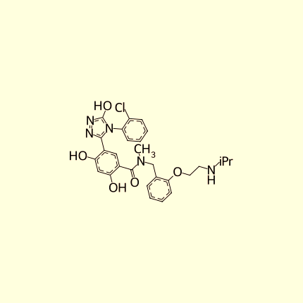 CC(C)NCCOc1ccccc1CN(C)C(=O)c1cc(-c2nnc(O)n2-c2ccccc2Cl)c(O)cc1O